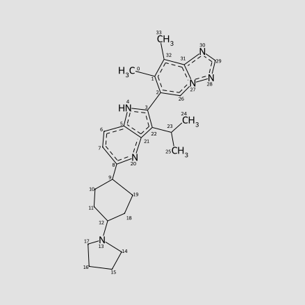 Cc1c(-c2[nH]c3ccc(C4CCC(N5CCCC5)CC4)nc3c2C(C)C)cn2ncnc2c1C